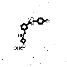 CCc1ccc(-c2nc(-c3cccc(CNC4CC(OC=O)C4)c3)no2)cc1